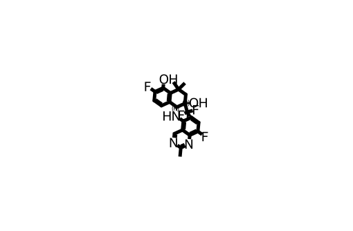 Cc1ncc2c(N[C@@H]3c4ccc(F)c(O)c4C(C)(C)C[C@]3(O)C(F)(F)F)ccc(F)c2n1